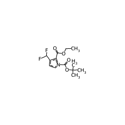 CCOC(=O)c1c(C(F)F)ccn1C(=O)OC(C)(C)C